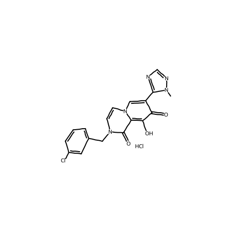 Cl.Cn1ncnc1-c1cn2ccn(Cc3cccc(Cl)c3)c(=O)c2c(O)c1=O